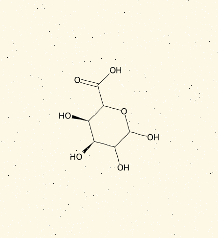 O=C(O)C1OC(O)C(O)[C@@H](O)[C@H]1O